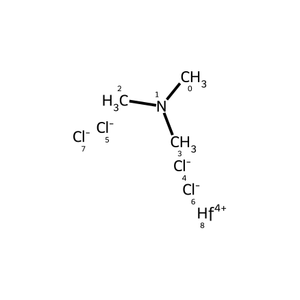 CN(C)C.[Cl-].[Cl-].[Cl-].[Cl-].[Hf+4]